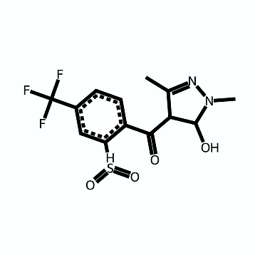 CC1=NN(C)C(O)C1C(=O)c1ccc(C(F)(F)F)cc1[SH](=O)=O